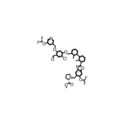 COC(=O)[C@@H]1CCCN1Cc1cc2nc(-c3cccc(-c4cccc(COc5cc(OCc6cncc(OC(F)F)c6)c(C=O)cc5Cl)c4C)c3C)oc2cc1OC(F)F